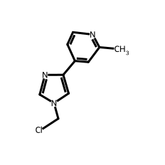 Cc1cc(-c2cn(CCl)cn2)ccn1